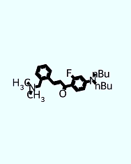 CCCCN(CCCC)c1ccc(C(=O)/C=C/c2ccccc2CN(C)C)c(F)c1